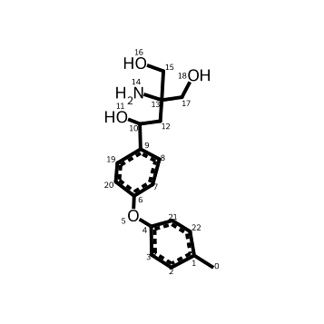 Cc1ccc(Oc2ccc(C(O)CC(N)(CO)CO)cc2)cc1